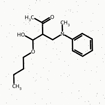 CCCCOC(O)C(CN(C)c1ccccc1)C(C)=O